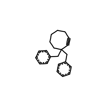 C1#CC(Cc2ccccc2)(Cc2ccccc2)CCCCC1